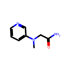 CN(CC(N)=O)c1cccnc1